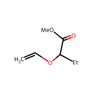 C=COC(CC)C(=O)OC